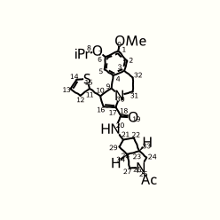 COc1cc2c(cc1OC(C)C)C1C(C3CC=CS3)C=C(C(=O)NC3C[C@@H]4CN(C(C)=O)C[C@@H]4C3)N1CC2